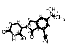 CN(C)c1cc(C#N)c2c(c1)CN(C1CCC(=O)NC1=O)C2=O